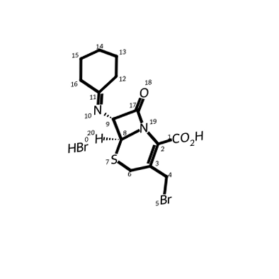 Br.O=C(O)C1=C(CBr)CS[C@H]2[C@H](N=C3CCCCC3)C(=O)N12